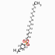 CCCCCCCCCCCCCC/C=C/C=C/OS(=O)(=O)c1ccc(C)cc1